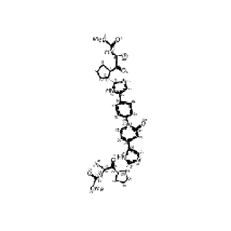 COC(=O)N[C@H](C(=O)C1CCC[C@H]1c1ncc(-c2ccc(-n3ccc(-c4cnc([C@@H]5CCCN5C(=O)[C@@H](NC(=O)OC)C(C)C)[nH]4)cc3=O)cc2)[nH]1)C(C)C